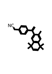 C=C(c1ccc(CC#N)cc1)c1cc2c(cc1C)C(C)(C)C=CC2(C)C